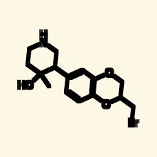 CC1(O)CCNCC1c1ccc2c(c1)OCC(CBr)O2